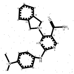 CN(C)c1ccc(Nc2ncc(C(N)=O)c(N3Cc4ccccc4C3)n2)cc1